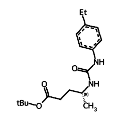 CCc1ccc(NC(=O)N[C@H](C)CCC(=O)OC(C)(C)C)cc1